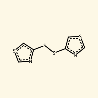 c1nc(SSc2cscn2)cs1